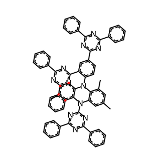 Cc1ccc2c(c1)N(c1nc(-c3ccccc3)nc(-c3ccccc3)n1)c1cc(C)cc(C)c1N2c1ccc(-c2nc(-c3ccccc3)nc(-c3ccccc3)n2)cc1-c1nc(-c2ccccc2)nc(-c2ccccc2)n1